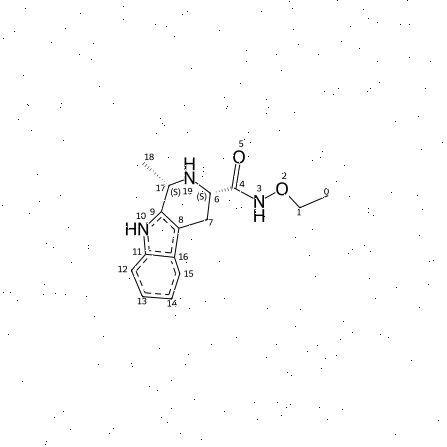 CCONC(=O)[C@@H]1Cc2c([nH]c3ccccc23)[C@H](C)N1